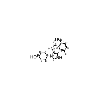 C[C@@H](NC1=CNCN1[C@H]1CC[C@@H](O)CC1)c1cc(F)ccc1O